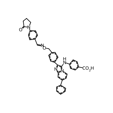 O=C(O)c1ccc(Nc2c(-c3ccc(CON=Cc4ccc(N5CCCC5=O)cc4)cc3)nc3cc(-c4ccccc4)ccn23)cc1